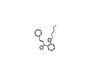 CCCCCOc1ccccc1C(=O)C=Cc1ccccc1